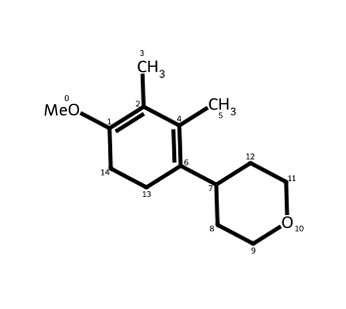 COC1=C(C)C(C)=C(C2CCOCC2)CC1